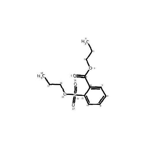 CCCOC(=O)c1ccccc1S(=O)(=O)OCCC